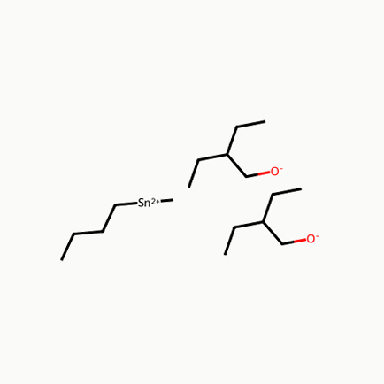 CCC(CC)C[O-].CCC(CC)C[O-].CCC[CH2][Sn+2][CH3]